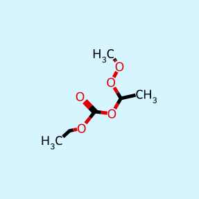 CCOC(=O)OC(C)OOC